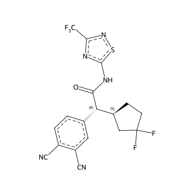 N#Cc1ccc([C@H](C(=O)Nc2nc(C(F)(F)F)ns2)[C@H]2CCC(F)(F)C2)cc1C#N